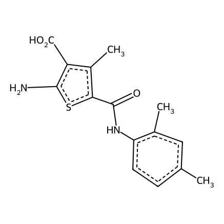 Cc1ccc(NC(=O)c2sc(N)c(C(=O)O)c2C)c(C)c1